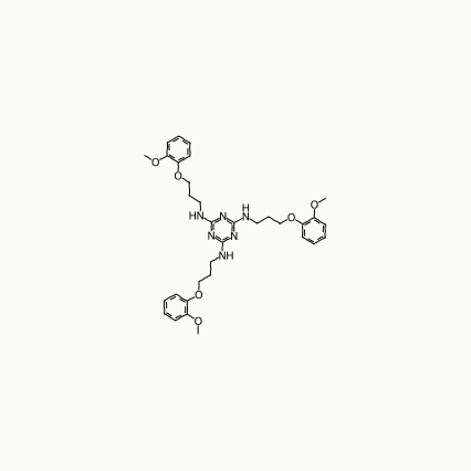 COc1ccccc1OCCCNc1nc(NCCCOc2ccccc2OC)nc(NCCCOc2ccccc2OC)n1